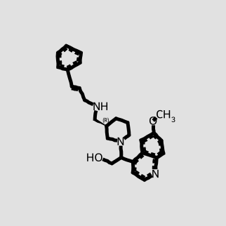 COc1ccc2nccc(C(CO)N3CCC[C@H](CNCC=Cc4ccccc4)C3)c2c1